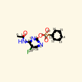 CC(=O)Nc1nc(OS(=O)(=O)c2ccccc2)ncc1F